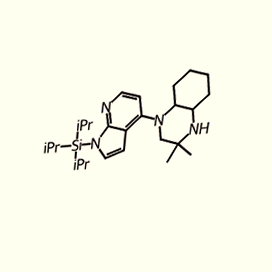 CC(C)[Si](C(C)C)(C(C)C)n1ccc2c(N3CC(C)(C)NC4CCCCC43)ccnc21